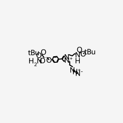 CC(C)(C)OC(=O)NCCCn1cc(-c2ccc(OC[C@H](ON)C(=O)OC(C)(C)C)cc2)c[n+]1CCCN=[N+]=[N-]